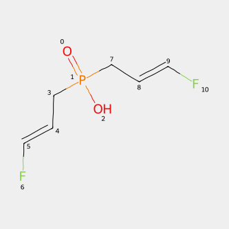 O=P(O)(CC=CF)CC=CF